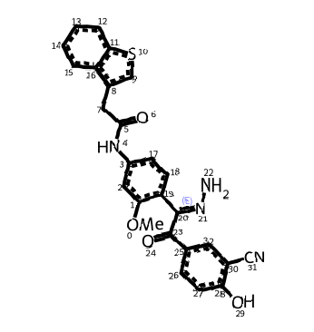 COc1cc(NC(=O)Cc2csc3ccccc23)ccc1/C(=N\N)C(=O)c1ccc(O)c(C#N)c1